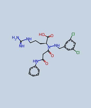 N=C(N)NCCC[C@@H](C(=O)O)N(NCc1cc(Cl)cc(Cl)c1)C(=O)CC(=O)Nc1ccccc1